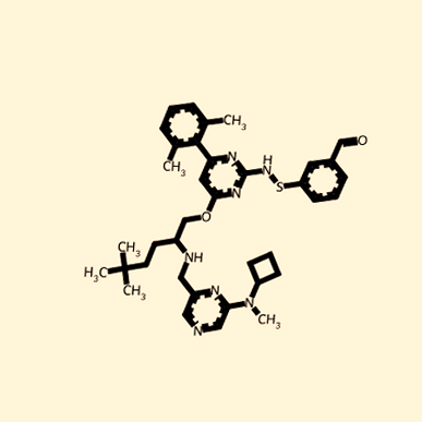 Cc1cccc(C)c1-c1cc(OCC(CCC(C)(C)C)NCc2cncc(N(C)C3CCC3)n2)nc(NSc2cccc(C=O)c2)n1